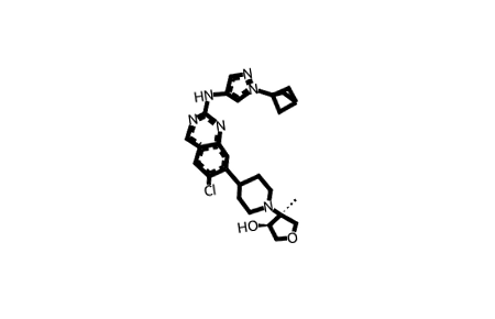 C[C@]1(N2CCC(c3cc4nc(Nc5cnn(C67CC(C6)C7)c5)ncc4cc3Cl)CC2)COC[C@H]1O